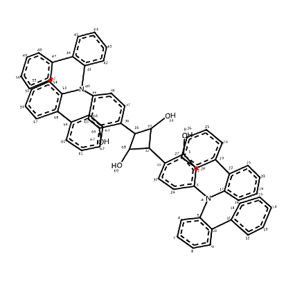 Oc1cc(N(c2ccccc2-c2ccccc2)c2ccccc2-c2ccccc2)ccc1C1C(O)C(c2ccc(N(c3ccccc3-c3ccccc3)c3ccccc3-c3ccccc3)cc2O)C1O